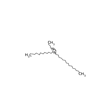 CCCCCCCCCCCCCCCN1C=CN(CCCC)C1CCCCCCCCCCC